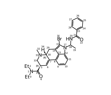 CCN(CC)C(=O)[C@@H]1C=C2c3cccc4c3c(c(Br)n4C(C)NC(=O)c3ccccc3)C[C@H]2N(C)C1